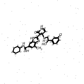 Cc1cc(C(=N)NC2CCCCC2)cc2[nH]c(-c3c(NCC(O)c4cccc(Cl)c4)cc[nH]c3=O)nc12